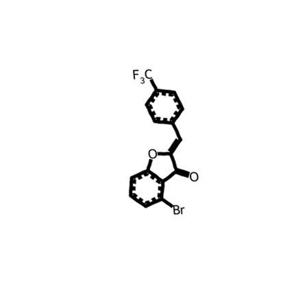 O=C1/C(=C/c2ccc(C(F)(F)F)cc2)Oc2cccc(Br)c21